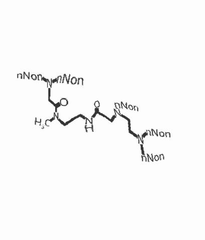 CCCCCCCCCN(CCCCCCCCC)CCN(CCCCCCCCC)CC(=O)NCCN(C)C(=O)CN(CCCCCCCCC)CCCCCCCCC